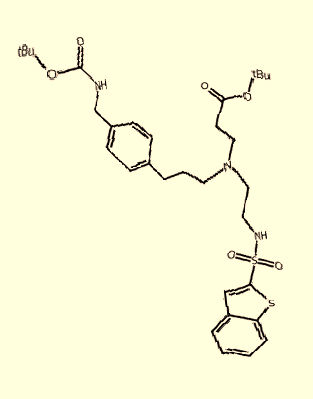 CC(C)(C)OC(=O)CCN(CCCc1ccc(CNC(=O)OC(C)(C)C)cc1)CCNS(=O)(=O)c1cc2ccccc2s1